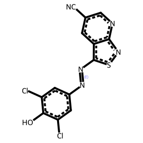 N#Cc1cnc2nsc(/N=N/c3cc(Cl)c(O)c(Cl)c3)c2c1